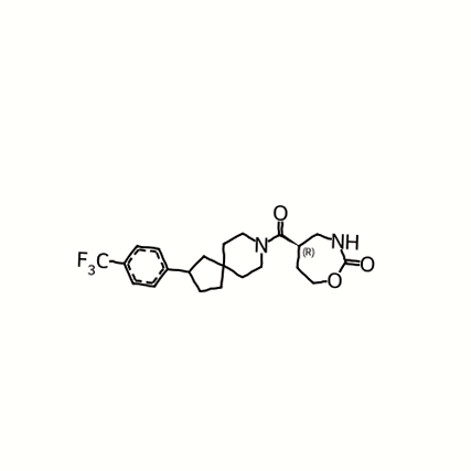 O=C1NC[C@H](C(=O)N2CCC3(CCC(c4ccc(C(F)(F)F)cc4)C3)CC2)CCO1